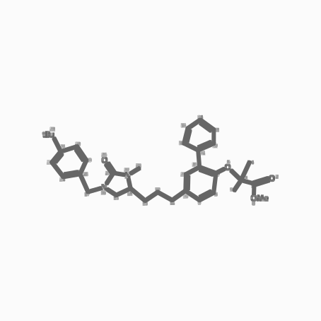 COC(=O)C(C)(C)Oc1ccc(CCCC2CN(Cc3ccc(C(C)(C)C)cc3)C(=O)N2C)cc1-c1ccccc1